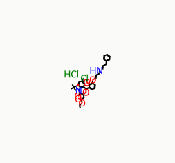 CCOC(=O)CC1OC(c2cccc(OCCCNCCCc3ccccc3)c2OC)c2cc(Cl)ccc2N(CC(C)(C)C)C1=O.Cl